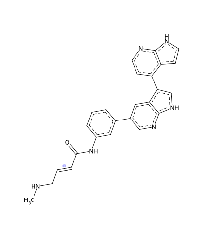 CNC/C=C/C(=O)Nc1cccc(-c2cnc3[nH]cc(-c4ccnc5[nH]ccc45)c3c2)c1